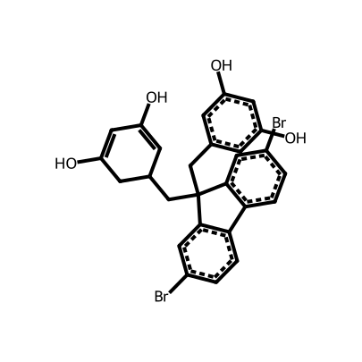 OC1=CC(CC2(Cc3cc(O)cc(O)c3)c3cc(Br)ccc3-c3ccc(Br)cc32)CC(O)=C1